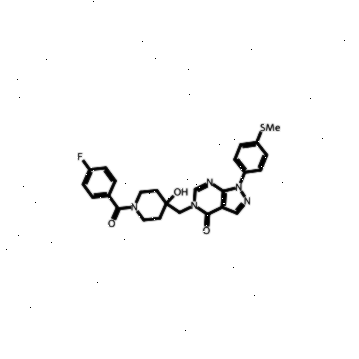 CSc1ccc(-n2ncc3c(=O)n(CC4(O)CCN(C(=O)c5ccc(F)cc5)CC4)cnc32)cc1